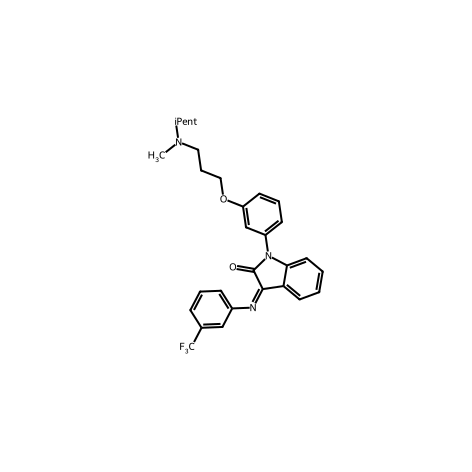 CCCC(C)N(C)CCCOc1cccc(N2C(=O)C(=Nc3cccc(C(F)(F)F)c3)c3ccccc32)c1